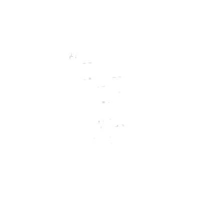 CC(C)c1ccc(-c2ccc(-c3cccc4c3oc3ccccc34)c3ccccc23)cc1